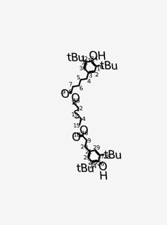 CC(C)(C)c1cc(CCCCC(=O)OCCSCCOC(=O)CCc2cc(C(C)(C)C)c(O)c(C(C)(C)C)c2)cc(C(C)(C)C)c1O